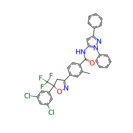 Cc1cc(C2=NOC(c3cc(Cl)cc(Cl)c3)(C(F)(F)F)C2)ccc1C(=O)Nc1cc(-c2ccccc2)nn1-c1ccccc1